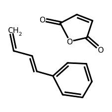 C=CC=Cc1ccccc1.O=C1C=CC(=O)O1